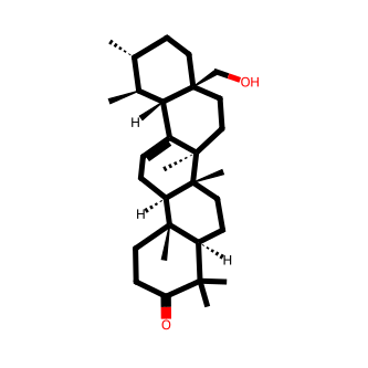 C[C@H]1[C@H](C)CC[C@]2(CO)CC[C@]3(C)C(=CC[C@@H]4[C@@]5(C)CCC(=O)C(C)(C)[C@@H]5CC[C@]43C)[C@H]12